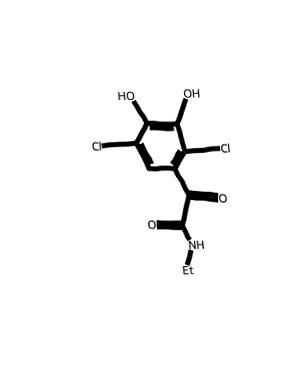 CCNC(=O)C(=O)c1cc(Cl)c(O)c(O)c1Cl